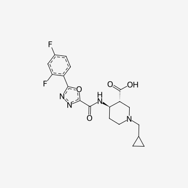 O=C(N[C@@H]1CCN(CC2CC2)C[C@H]1C(=O)O)c1nnc(-c2ccc(F)cc2F)o1